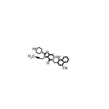 CC#CCn1c(N2CCNCC2)nc2cnn(Cc3cc(C#N)c4ccccc4c3C#N)c(=O)c21